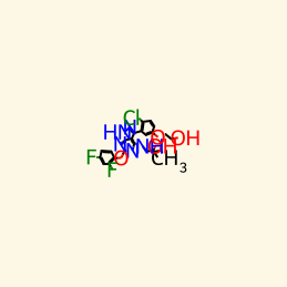 CC(O)CNc1nc(Oc2ccc(F)cc2F)nc2[nH]nc(-c3cc(OCCO)ccc3Cl)c12